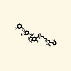 O=S(=O)=C(CNCCCc1nc(-c2cc3c(Nc4ccc(OCc5cccc(F)c5)c(Br)c4)ncnc3cc2F)cs1)c1ccccn1